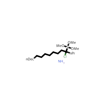 CCCCCCCCCCCCCCCCCC(Cl)(CCC)[Si](OC)(OC)OC.N